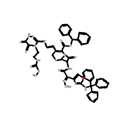 CO/N=C(/C(=O)NC1C(=O)N2C(C(=O)OC(c3ccccc3)c3ccccc3)=C(/C=C/Sc3n[nH]c(=O)c(=O)n3CCNC(=O)OC(C)(C)C)CSC12)c1csc(NC(c2ccccc2)(c2ccccc2)c2ccccc2)n1